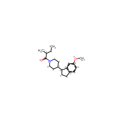 CCC(C)C(=O)N1CCC(C2CCc3ccc(OC)cc32)CC1